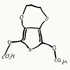 O=C(O)Oc1sc(OC(=O)O)c2c1OCCO2